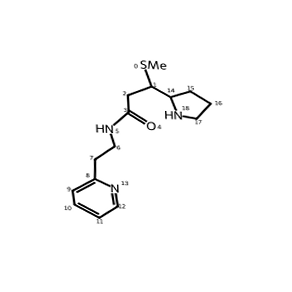 CSC(CC(=O)NCCc1ccccn1)C1CCCN1